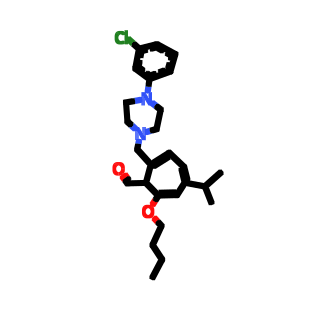 CCCCOC1=CC(C(C)C)=CC=C(CN2CCN(c3cccc(Cl)c3)CC2)C1C=O